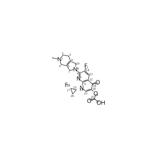 CN1CCC2=C(C1)CN(c1nc3c(cc1F)c(=O)c(OC(=O)O)cn3[C@@H]1C[C@@H]1F)C2